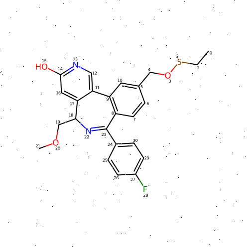 CCSOCc1ccc2c(c1)-c1cnc(O)cc1C(COC)N=C2c1ccc(F)cc1